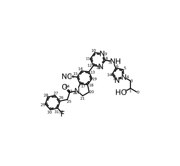 CC(O)Cn1cc(Nc2nccc(-c3cc(C#N)c4c(c3)CCN4C(=O)Cc3ccccc3F)n2)cn1